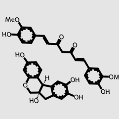 COc1cc(/C=C/C(=O)CC(=O)/C=C/c2ccc(O)c(OC)c2)ccc1O.Oc1ccc2c(c1)OC[C@]1(O)Cc3cc(O)c(O)cc3[C@H]21